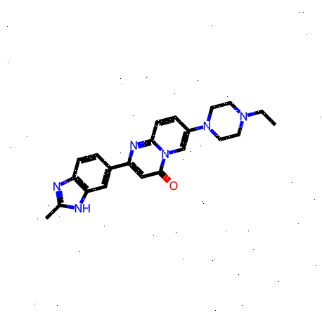 CCN1CCN(c2ccc3nc(-c4ccc5nc(C)[nH]c5c4)cc(=O)n3c2)CC1